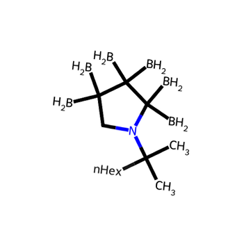 BC1(B)CN(C(C)(C)CCCCCC)C(B)(B)C1(B)B